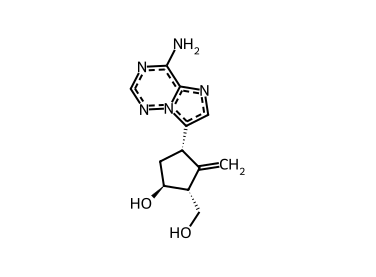 C=C1[C@@H](c2cnc3c(N)ncnn23)C[C@H](O)[C@H]1CO